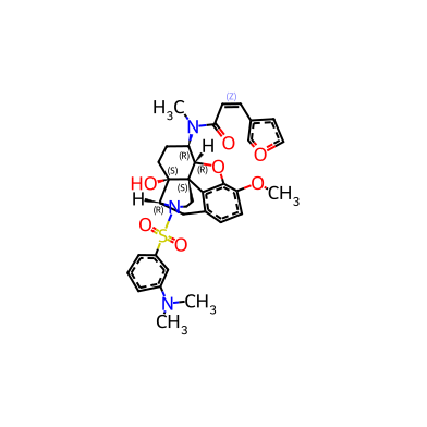 COc1ccc2c3c1O[C@H]1[C@H](N(C)C(=O)/C=C\c4ccoc4)CC[C@@]4(O)[C@@H](C2)N(S(=O)(=O)c2cccc(N(C)C)c2)CC[C@]314